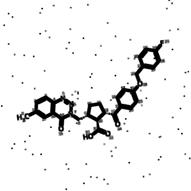 Cc1ccc2nnn(C[C@@H]3CC[C@H](C(=O)c4ccc(OCc5ccc(F)cc5)cc4)[C@H]3C(=O)O)c(=O)c2c1